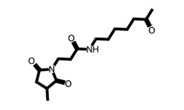 CC(=O)CCCCCNC(=O)CCN1C(=O)CC(C)C1=O